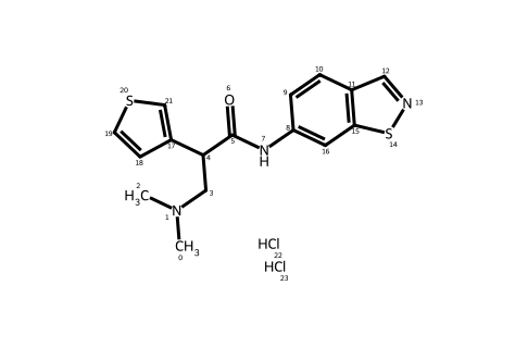 CN(C)CC(C(=O)Nc1ccc2cnsc2c1)c1ccsc1.Cl.Cl